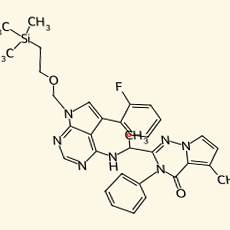 Cc1ccn2nc(C(C)Nc3ncnc4c3c(-c3ccccc3F)cn4COCC[Si](C)(C)C)n(-c3ccccc3)c(=O)c12